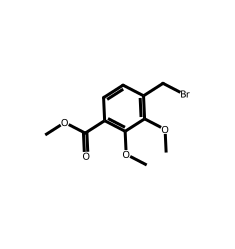 COC(=O)c1ccc(CBr)c(OC)c1OC